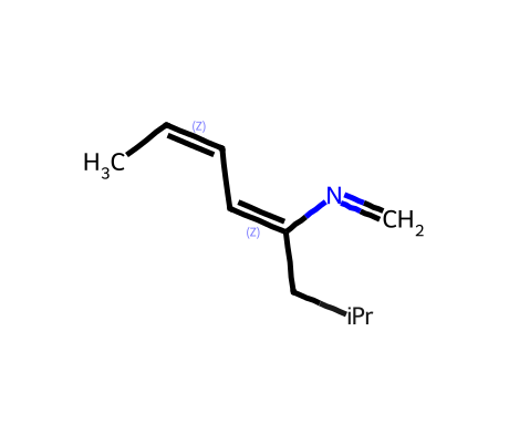 C=N/C(=C\C=C/C)CC(C)C